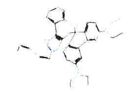 C/C=C\C=C/c1nc2c([nH]1)C1(Oc3ccccc3-2)c2ccc(N(CC)CC)cc2-c2cc(N(CC)CC)ccc21